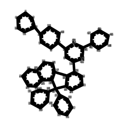 c1ccc(-c2ccc(-c3cc(-c4cccc5c4-c4ccc6ccccc6c4C5(c4ccccc4)c4ccccc4)nc(-c4ccccc4)n3)cc2)cc1